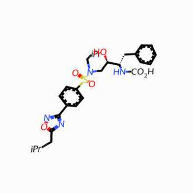 CC(C)Cc1nc(-c2ccc(S(=O)(=O)N(CC(C)C)C[C@@H](O)[C@H](Cc3ccccc3)NC(=O)O)cc2)no1